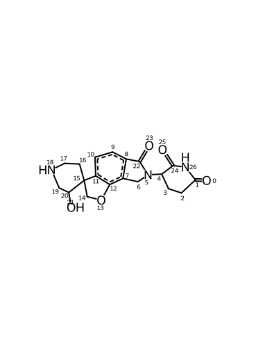 O=C1CCC(N2Cc3c(ccc4c3OCC43CCNCC3O)C2=O)C(=O)N1